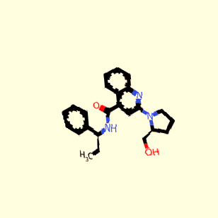 CC[C@H](NC(=O)c1cc(N2CCC[C@H]2CO)nc2ccccc12)c1ccccc1